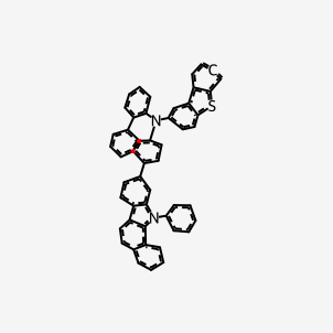 c1ccc(-c2ccccc2N(c2ccc(-c3ccc4c5ccc6ccccc6c5n(-c5ccccc5)c4c3)cc2)c2ccc3sc4ccccc4c3c2)cc1